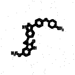 COc1ccc2c(c1)C1(CC1c1ccc3c(-c4ccc(OC5CCN(C)CC5)cc4)n[nH]c3c1)C(=O)N2